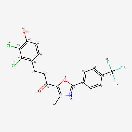 Cc1nc(-c2ccc(C(F)(F)F)cc2)oc1C(=O)CCc1ccc(O)c(Cl)c1Cl